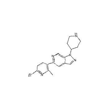 CCc1ccc(-c2cc3cnn(C4CCNCC4)c3cn2)c(C)n1